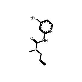 C=CCN(C)C(=O)Nc1cc(C(C)(C)C)ccn1